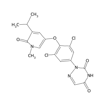 CC(C)c1cc(Oc2c(Cl)cc(-n3ncc(=O)[nH]c3=O)cc2Cl)cn(C)c1=O